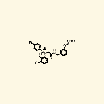 CCc1ccc(S(=O)(=O)N(CC(=O)NCc2cccc(OCC=O)c2)c2cccc(Cl)c2C)cc1